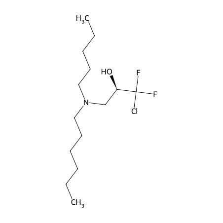 CCCCCCN(CCCCC)C[C@@H](O)C(F)(F)Cl